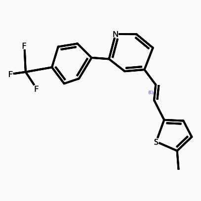 Cc1ccc(/C=C/c2ccnc(-c3ccc(C(F)(F)F)cc3)c2)s1